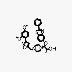 COc1ccc(-c2cc(CN3CCN(C(Oc4ccc5sc(-c6ccccc6)nc5c4)[C@H](C)O)CC3)on2)c(OC)c1